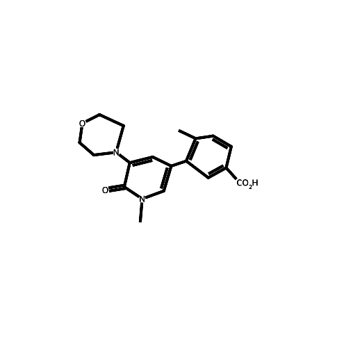 Cc1ccc(C(=O)O)cc1-c1cc(N2CCOCC2)c(=O)n(C)c1